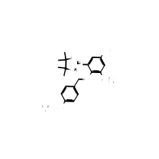 COc1ccc(COc2c(C#N)cc(C(F)(F)F)cc2B2OC(C)(C)C(C)(C)O2)cc1